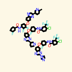 Cc1ccc(-c2cnc3ccc(Oc4ccc(NC(=O)c5cccc(F)c5)c(F)c4F)cc3n2)cn1.O=C(Nc1ccc(Oc2ccc3ncc(-c4cccnc4)nc3c2)c(F)c1)c1ccc(Cl)c(C(F)(F)F)c1.O=C(Nc1ccc(Oc2ccc3ncc(-n4ccnc4)nc3c2)c(F)c1)c1ccc(Cl)c(C(F)(F)F)c1